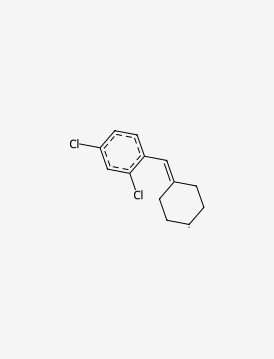 Clc1ccc(C=C2CC[CH]CC2)c(Cl)c1